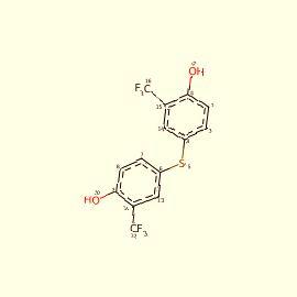 Oc1ccc(Sc2ccc(O)c(C(F)(F)F)c2)cc1C(F)(F)F